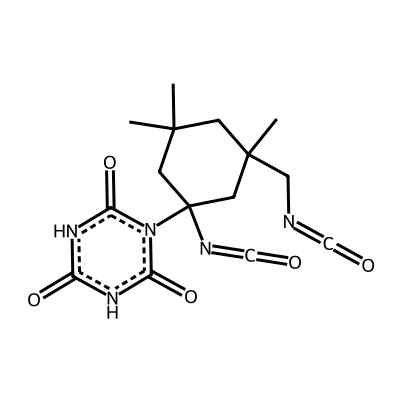 CC1(C)CC(C)(CN=C=O)CC(N=C=O)(n2c(=O)[nH]c(=O)[nH]c2=O)C1